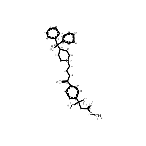 COC(=O)CC(C)(C)c1ccc(C(=O)CCCN2CCC(C(O)(c3ccccc3)c3ccccc3)CC2)cc1